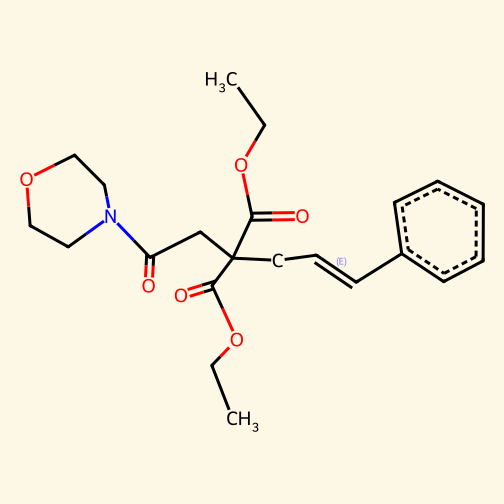 CCOC(=O)C(C/C=C/c1ccccc1)(CC(=O)N1CCOCC1)C(=O)OCC